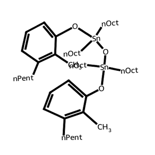 CCCCCCC[CH2][Sn]([CH2]CCCCCCC)([O]c1cccc(CCCCC)c1C)[O][Sn]([CH2]CCCCCCC)([CH2]CCCCCCC)[O]c1cccc(CCCCC)c1C